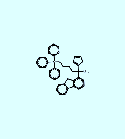 CC(CCCO[Si](c1ccccc1)(c1ccccc1)c1ccccc1)(C1=CC=CC1)c1cccc2c1Cc1ccccc1-2